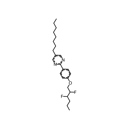 CCCCCCCCc1cnc(-c2ccc(OCC(F)C(F)CCC)cc2)nc1